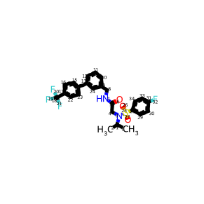 CC(C)N(CC(=O)NCc1cccc(-c2ccc(C(F)(F)F)cc2)c1)S(=O)(=O)c1ccc(F)cc1